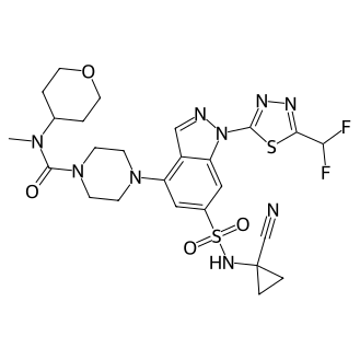 CN(C(=O)N1CCN(c2cc(S(=O)(=O)NC3(C#N)CC3)cc3c2cnn3-c2nnc(C(F)F)s2)CC1)C1CCOCC1